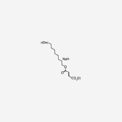 CCCCCCCCCCCCCCCCCCOC(=O)/C=C/C(=O)OCC.[NaH]